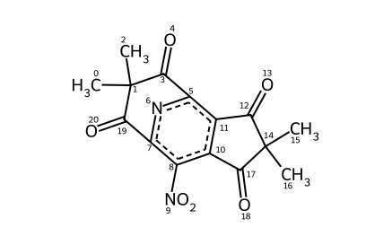 CC1(C)C(=O)c2nc(c([N+](=O)[O-])c3c2C(=O)C(C)(C)C3=O)C1=O